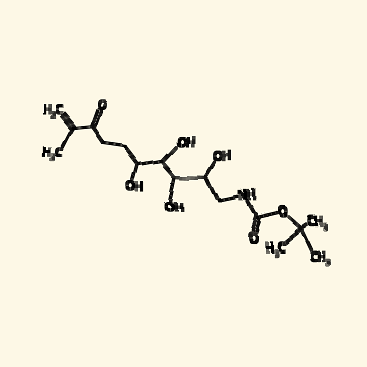 C=C(C)C(=O)CCC(O)C(O)C(O)C(O)CNC(=O)OC(C)(C)C